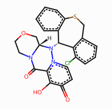 O=C1c2c(O)c(=O)ccn2N([C@@H]2c3ccccc3SCc3cccc(Cl)c32)[C@H]2COCCN12